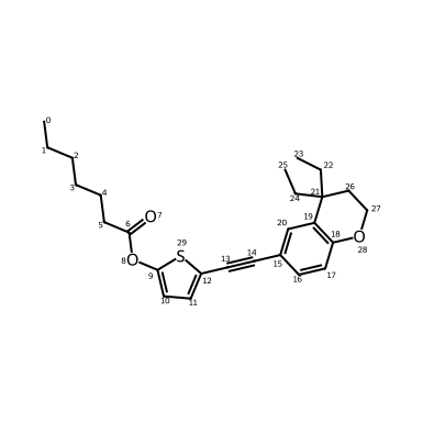 CCCCCCC(=O)Oc1ccc(C#Cc2ccc3c(c2)C(CC)(CC)CCO3)s1